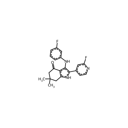 CC1(C)CC(=O)c2c([nH]c(-c3ccnc(F)c3)c2Nc2cccc(F)c2)C1